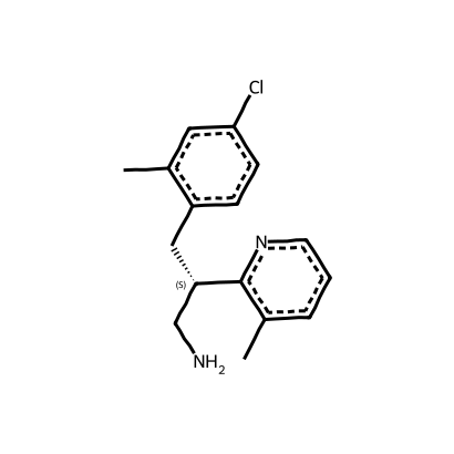 Cc1cc(Cl)ccc1C[C@@H](CN)c1ncccc1C